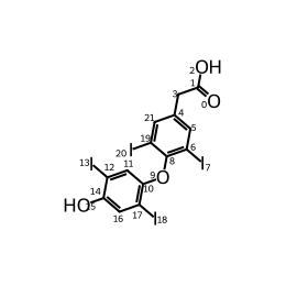 O=C(O)Cc1cc(I)c(Oc2cc(I)c(O)cc2I)c(I)c1